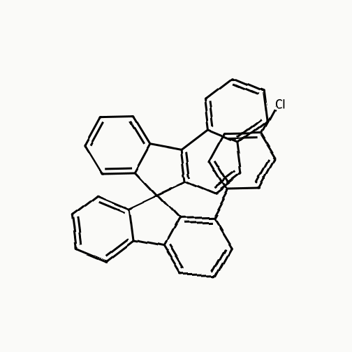 Clc1ccc(-c2cccc3c2C2(c4ccccc4-3)c3ccccc3-c3c2ccc2ccccc32)cc1